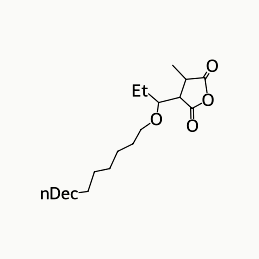 CCCCCCCCCCCCCCCCOC(CC)C1C(=O)OC(=O)C1C